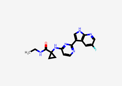 CCNC(=O)C1(Nc2ccnc(-c3c[nH]c4ncc(F)cc34)n2)CC1